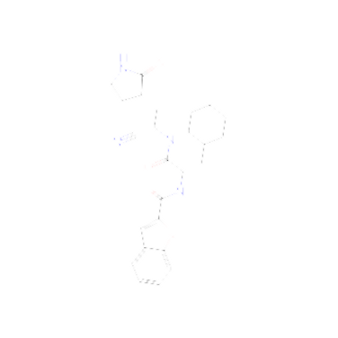 N#C[C@H](C[C@@H]1CCNC1=O)NC(=O)[C@H](CC1CCCCC1)NC(=O)c1cc2ccccc2o1